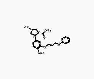 COC(=O)[C@H]1CN(C=O)C[C@@H]1c1ccc(OC)c(OCCCOc2ccccc2)c1